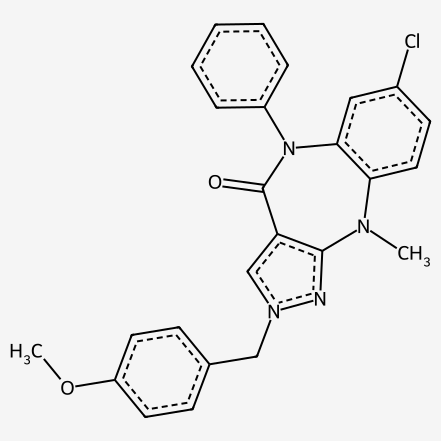 COc1ccc(Cn2cc3c(n2)N(C)c2ccc(Cl)cc2N(c2ccccc2)C3=O)cc1